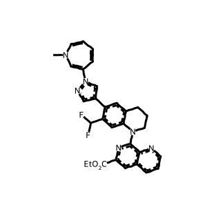 CCOC(=O)c1cc2cccnc2c(N2CCCc3cc(-c4cnn(C5=CN(C)C=CC=C5)c4)c(C(F)F)cc32)n1